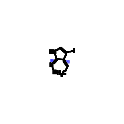 C/C=C1/C(I)=CN/C1=N/CC